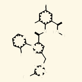 Cc1cc(Br)cc(C(=O)NC(C)(C)C)c1NC(=O)c1cc(Cn2nnc(C(F)(F)F)n2)nn1-c1ncccc1Br